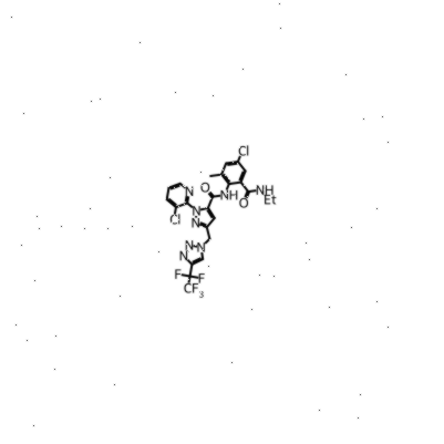 CCNC(=O)c1cc(Cl)cc(C)c1NC(=O)c1cc(Cn2cc(C(F)(F)C(F)(F)F)nn2)nn1-c1ncccc1Cl